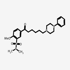 COc1ccc(C(=O)CCCCCN2CCN(c3ccccc3)CC2)cc1S(=O)(=O)N(C)C